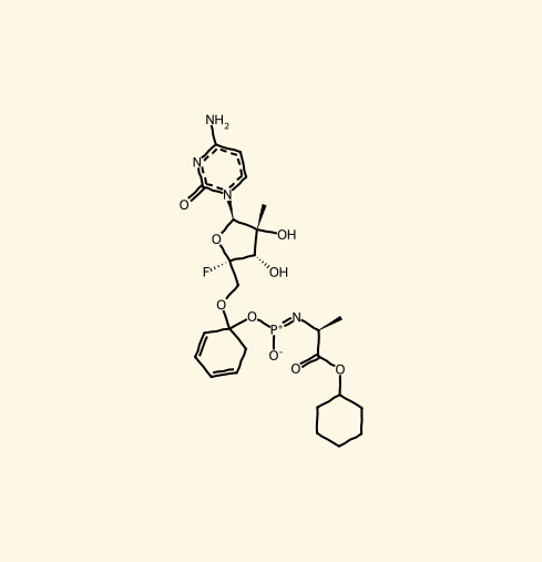 C[C@H](N=[P+]([O-])OC1(OC[C@@]2(F)O[C@@H](n3ccc(N)nc3=O)[C@](C)(O)[C@@H]2O)C=CC=CC1)C(=O)OC1CCCCC1